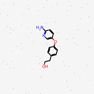 Nc1ccc(Oc2ccc(CCO)cc2)cn1